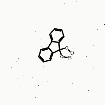 CCOC1(OCC)c2ccccc2-c2ccccc21